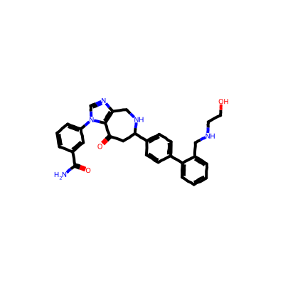 NC(=O)c1cccc(-n2cnc3c2C(=O)CC(c2ccc(-c4ccccc4CNCCO)cc2)NC3)c1